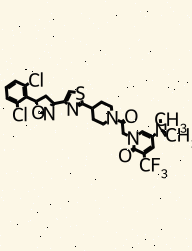 CN(C)c1cc(C(F)(F)F)c(=O)n(CC(=O)N2CCC(c3nc(C4=NOC(c5c(Cl)cccc5Cl)C4)cs3)CC2)c1